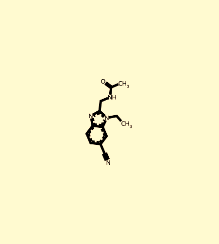 CCn1c(CNC(C)=O)nc2ccc(C#N)cc21